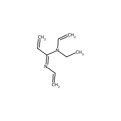 C=C/N=C(/C=C)N(C=C)CC